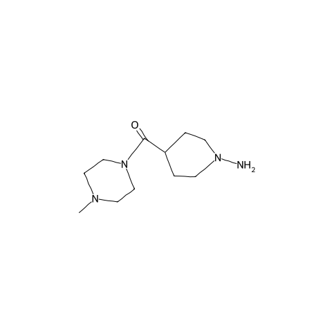 CN1CCN(C(=O)C2CCN(N)CC2)CC1